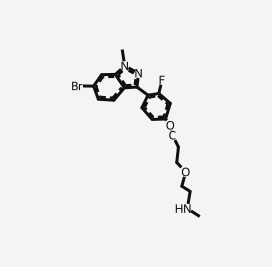 CNCCOCCCOc1ccc(-c2nn(C)c3cc(Br)ccc23)c(F)c1